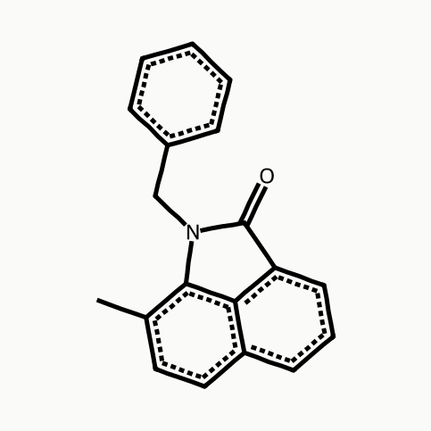 Cc1ccc2cccc3c2c1N(Cc1ccccc1)C3=O